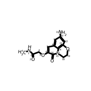 CNC(=O)COc1cc2cc(N)cc3c2n(c1=O)CCO3